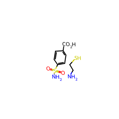 NCCS.NS(=O)(=O)c1ccc(C(=O)O)cc1